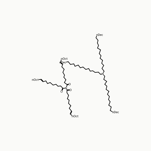 CCCCCCCCC=CCCCCCCCC(=O)N(C(=O)CCCCCCCC=CCCCCCCCC)C(=O)CCCCCCCC=CCCCCCCCC.CCCCCCCCCCCCCCCCCCCCCCCCN(CCCCCCCCCCCCCCCCCCCCCCCC)CCCCCCCCCCCCCCCCCCCCCCCC